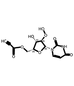 C#CC(=O)OC[C@H]1O[C@@H](n2ccc(=O)[nH]c2=O)[C@H](OO)[C@H]1O